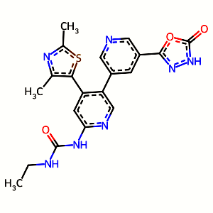 CCNC(=O)Nc1cc(-c2sc(C)nc2C)c(-c2cncc(-c3n[nH]c(=O)o3)c2)cn1